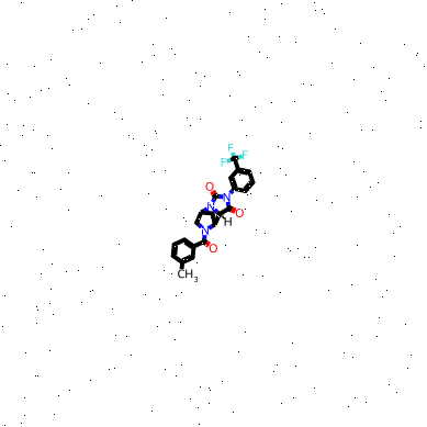 Cc1cccc(C(=O)N2CC3CC2[C@@H]2C(=O)N(c4cccc(C(F)(F)F)c4)C(=O)N32)c1